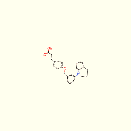 O=C(O)CCc1ccc(OCc2cccc(N3CCCc4ccccc43)c2)cc1